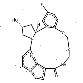 O=C1NCCCOc2ccc(F)cc2[C@@H]2C[C@@H](O)CN2c2ccn3ncc1c3n2